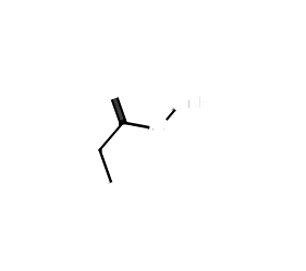 CCC(=O)[O][SnH]